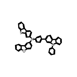 c1ccc(-n2c3ccccc3c3ccc(-c4ccc(N(c5ccc6c(c5)sc5ccccc56)c5ccc6oc7ccccc7c6c5)cc4)cc32)cc1